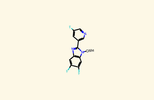 COn1c(-c2cncc(F)c2)nc2cc(F)c(F)cc21